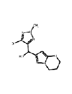 Cn1nc(Br)c(C(O)c2cc3n(n2)CCCO3)n1